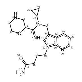 N=C(C1CNCCO1)N(Cc1cn(CCCC(N)=O)c2ncccc12)C1CC1